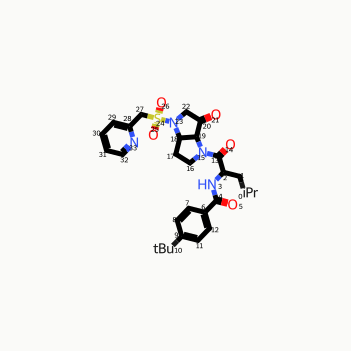 CC(C)CC(NC(=O)c1ccc(C(C)(C)C)cc1)C(=O)N1CCC2C1C(=O)CN2S(=O)(=O)Cc1ccccn1